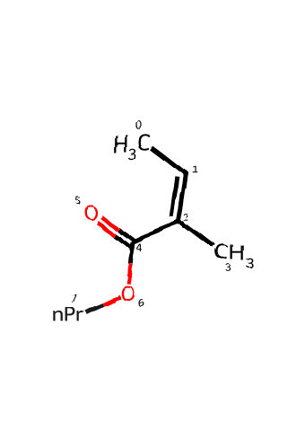 C/C=C(/C)C(=O)OCCC